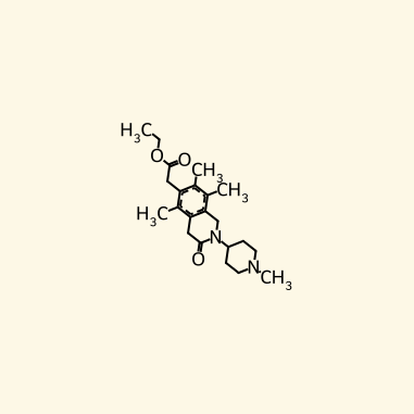 CCOC(=O)Cc1c(C)c(C)c2c(c1C)CC(=O)N(C1CCN(C)CC1)C2